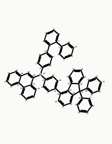 c1ccc(-c2ccccc2-c2ccc(N(c3ccc(-c4cccc5c4-c4ccccc4C5(c4ccccc4)c4ccccc4)cc3)c3cc4ccccc4c4ccccc34)cc2)cc1